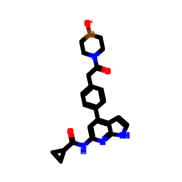 O=C(Nc1cc(-c2ccc(CC(=O)N3CC[S+]([O-])CC3)cc2)c2cc[nH]c2n1)C1CC1